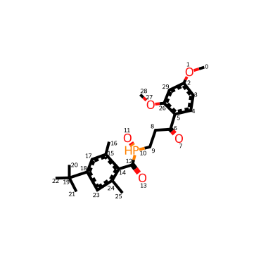 COc1ccc(C(=O)CC[PH](=O)C(=O)c2c(C)cc(C(C)(C)C)cc2C)c(OC)c1